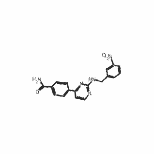 NC(=O)c1ccc(-c2ccnc(NCc3cccc([N+](=O)[O-])c3)n2)cc1